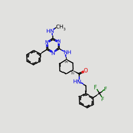 CNc1nc(N[C@@H]2CCC[C@H](C(=O)NCc3ccccc3C(F)(F)F)C2)nc(-c2ccccc2)n1